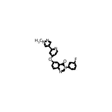 Cn1cc(-c2cc(Oc3ccc4ncn(-c5cccc(F)c5)c(=O)c4c3)ccn2)cn1